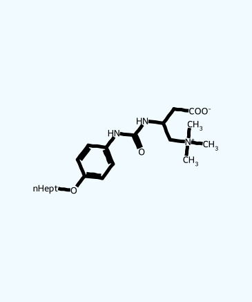 CCCCCCCOc1ccc(NC(=O)NC(CC(=O)[O-])C[N+](C)(C)C)cc1